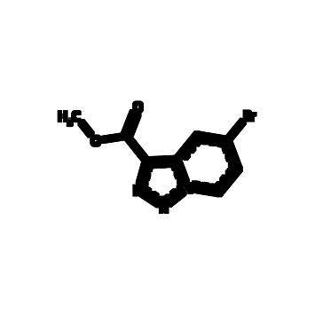 COC(=O)c1nnn2ccc(Br)cc12